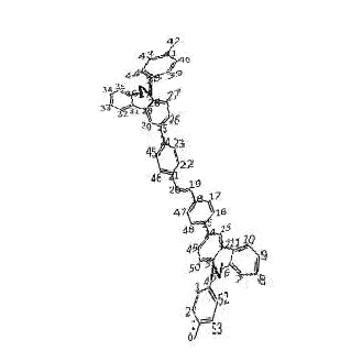 Cc1ccc(-n2c3ccccc3c3cc(-c4ccc(/C=C/c5ccc(-c6ccc7c(c6)c6ccccc6n7-c6ccc(C)cc6)cc5)cc4)ccc32)cc1